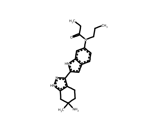 CCCN(C(=O)CC)c1ccc2cc(-c3n[nH]c4c3CCC(C)(N)C4)[nH]c2c1